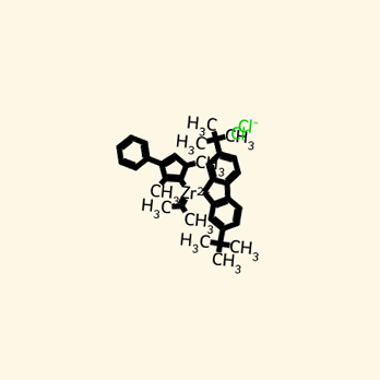 CC1=[C]([Zr+2](=[C](C)C)[CH]2c3cc(C(C)(C)C)ccc3-c3ccc(C(C)(C)C)cc32)C(C)C=C1c1ccccc1.[Cl-].[Cl-]